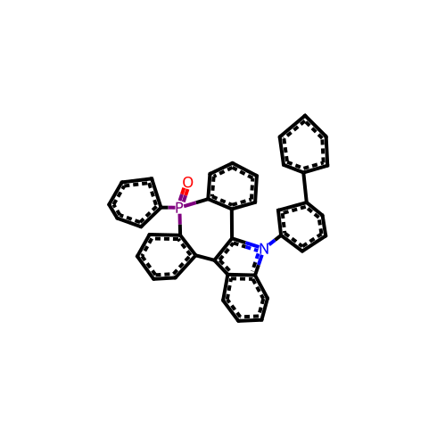 O=P1(c2ccccc2)c2ccccc2-c2c(n(-c3cccc(-c4ccccc4)c3)c3ccccc23)-c2ccccc21